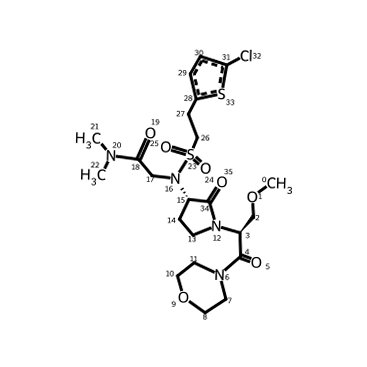 COC[C@@H](C(=O)N1CCOCC1)N1CC[C@H](N(CC(=O)N(C)C)S(=O)(=O)CCc2ccc(Cl)s2)C1=O